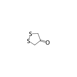 O=C1CSSC1